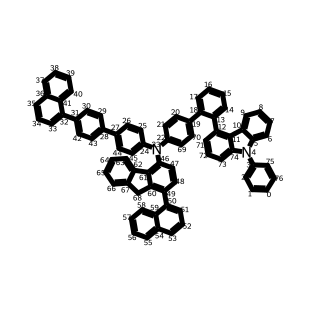 c1ccc(-n2c3ccccc3c3c(-c4ccccc4-c4ccc(N(c5ccc(-c6ccc(-c7cccc8ccccc78)cc6)cc5)c5ccc(-c6cccc7ccccc67)c6c5-c5ccccc5C6)cc4)cccc32)cc1